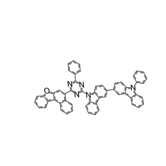 c1ccc(-c2nc(-c3cc4oc5ccccc5c4c4ccccc34)nc(-n3c4ccccc4c4cc(-c5ccc6c(c5)c5ccccc5n6-c5ccccc5)ccc43)n2)cc1